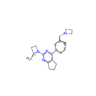 C[C@H]1CCN1c1nc2c(c(-c3cccc(CN4CCC4)c3)n1)CCC2